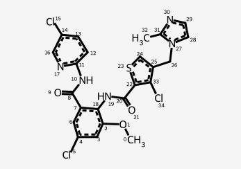 COc1cc(Cl)cc(C(=O)Nc2ccc(Cl)cn2)c1NC(=O)c1scc(Cn2ccnc2C)c1Cl